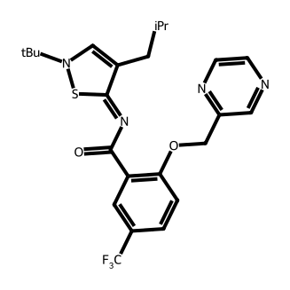 CC(C)Cc1cn(C(C)(C)C)sc1=NC(=O)c1cc(C(F)(F)F)ccc1OCc1cnccn1